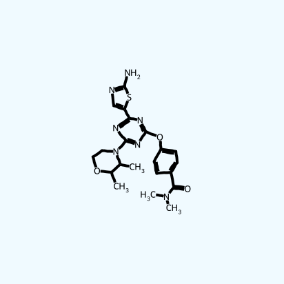 CC1OCCN(c2nc(Oc3ccc(C(=O)N(C)C)cc3)nc(-c3cnc(N)s3)n2)C1C